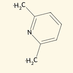 [CH2]c1cccc([CH2])n1